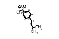 CC(C)CCc1ccc(S(=O)(=O)Cl)cc1